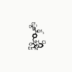 CCc1nc2ccc(Cl)cn2c1C(=O)NCc1ccc(N(C)C2CN(C(=O)C(F)(F)F)C2)cc1